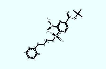 CC(C)(C)OC(=O)c1ccc(S(=O)(=O)CNCCc2ccccc2)c([N+](=O)[O-])c1